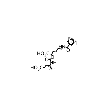 CC(=O)[C@H](CCC(=O)O)NC(=O)O[C@@H](CCCCNC(=O)c1cncc([125I])c1)C(=O)O